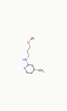 Cc1ccnc(NCCCOC(C)C)c1